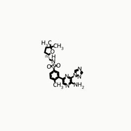 Cc1ccc(S(=O)(=O)NC[C@@H]2CCC(C)(C)O2)cc1-c1cnc(N)c(-n2cncn2)n1